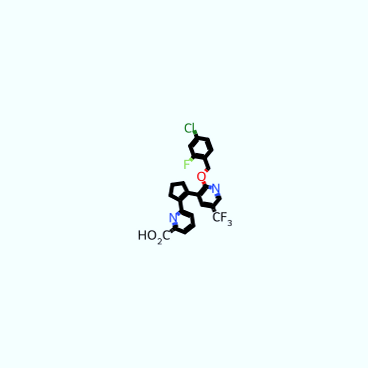 O=C(O)c1cccc(C2=C(c3cc(C(F)(F)F)cnc3OCc3ccc(Cl)cc3F)CCC2)n1